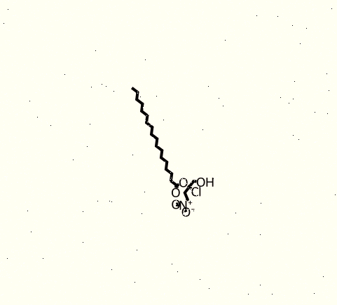 CCCCCCCCCCCCCCCCCC(=O)OC(Cl)(CO)CC[N+](=O)[O-]